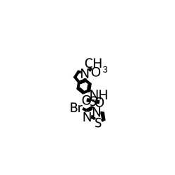 CC(=O)N1CCc2ccc(NS(=O)(=O)c3c(Br)nc4sccn34)cc21